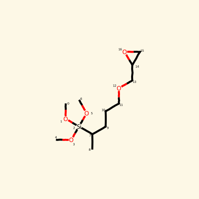 CO[Si](OC)(OC)C(C)CCCOCC1CO1